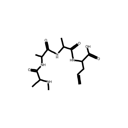 C=CCC(NC(=O)C(C)NC(=O)C(C)NC(=O)C(C)NC)C(=O)O